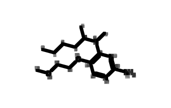 CCCCC(C)N(C)c1nc(N)ncc1OCCOC